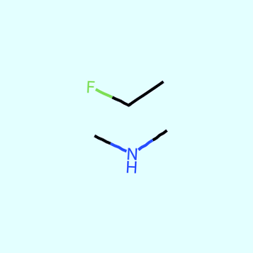 CCF.CNC